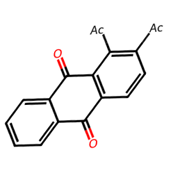 CC(=O)c1ccc2c(c1C(C)=O)C(=O)c1ccccc1C2=O